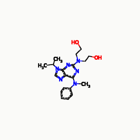 CC(C)n1cnc2c(N(C)c3ccccc3)nc(N(CCO)CCO)nc21